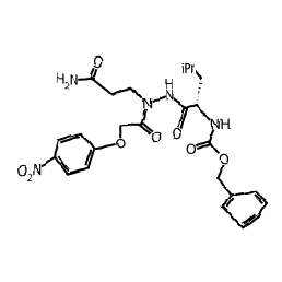 CC(C)C[C@H](NC(=O)OCc1ccccc1)C(=O)NN(CCC(N)=O)C(=O)COc1ccc([N+](=O)[O-])cc1